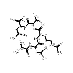 CC(C)C[C@H](NC(=O)[C@@H](NC(=O)[C@H](CCCNC(=N)N)NC(=O)[C@H](CC(C)C)NC(=O)[C@H](C)N)C(C)C)C(N)=O